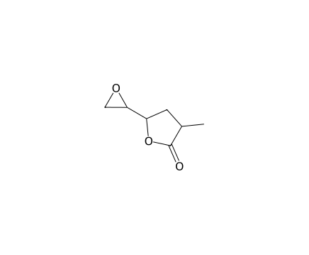 CC1CC(C2CO2)OC1=O